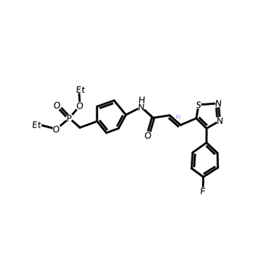 CCOP(=O)(Cc1ccc(NC(=O)/C=C/c2snnc2-c2ccc(F)cc2)cc1)OCC